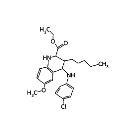 CCCCCC1C(C(=O)OCC)Nc2ccc(OC)cc2C1Nc1ccc(Cl)cc1